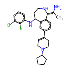 C/C(N)=C1/NCCC(Nc2cccc(Cl)c2F)c2cc(C3=CCN(C4CCCC4)CC3)ccc21